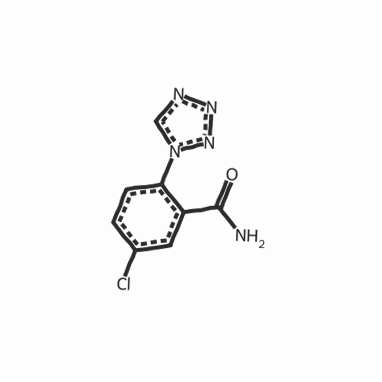 NC(=O)c1cc(Cl)ccc1-n1cnnn1